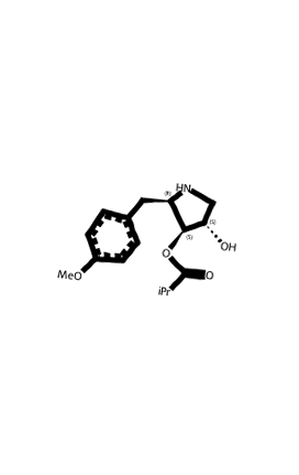 COc1ccc(C[C@H]2NC[C@H](O)[C@H]2OC(=O)C(C)C)cc1